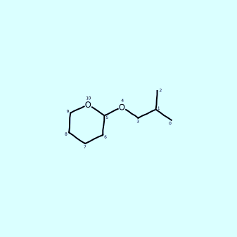 CC(C)COC1CCCCO1